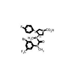 CN(C(=O)N(C)[C@@H]1CN(C(=O)O)C[C@H]1c1ccc(F)cc1)c1cc(Br)cc(C(F)(F)F)c1